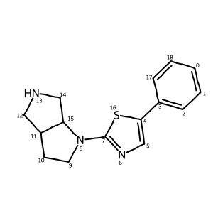 c1ccc(-c2cnc(N3CCC4CNCC43)s2)cc1